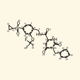 O=C(NCc1ccc(S(=O)(=O)C2CC2)cc1OC(F)(F)F)c1cc(=O)n(Cc2ccccc2)c(=O)[nH]1